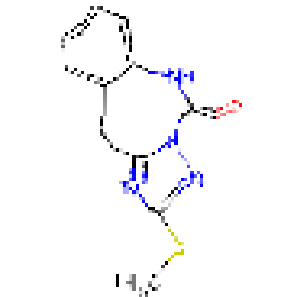 CSc1nc2n(n1)C(=O)Nc1ccccc1C2